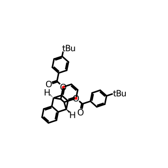 CC(C)(C)c1ccc(C(=O)OC2C(OC(=O)c3ccc(C(C)(C)C)cc3)[C@H]3c4ccccc4[C@H]2c2ccccc23)cc1